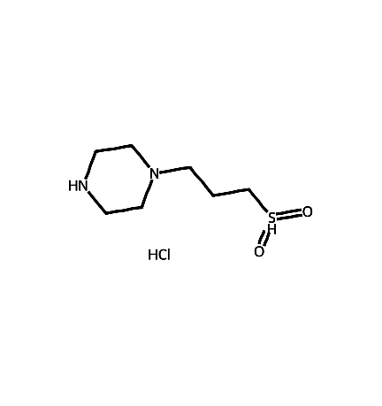 Cl.O=[SH](=O)CCCN1CCNCC1